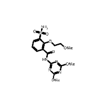 COCCOc1c(C(=O)Nc2nc(OC)nc(OC)n2)cccc1S(N)(=O)=O